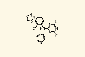 Clc1nc(Cl)nc(Nc2ccccc2Cl)n1.c1cncnc1.c1csnn1